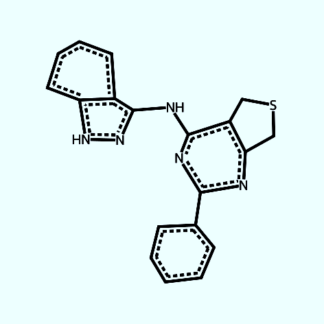 c1ccc(-c2nc3c(c(Nc4n[nH]c5ccccc45)n2)CSC3)cc1